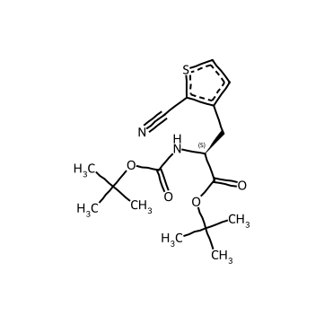 CC(C)(C)OC(=O)N[C@@H](Cc1ccsc1C#N)C(=O)OC(C)(C)C